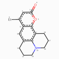 CCc1cc(=O)oc2c3c4c(cc12)CCCN4CCC3